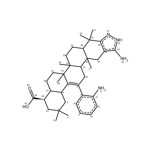 CC1(C)CC2C3=C(c4ccccc4N)CC4C5(C)Cc6c(n[nH]c6N)C(C)(C)C5CCC4(C)C3(C)CCC2[C@H](C(=O)O)C1